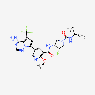 COc1ncc(-c2cc(C(F)(F)F)c3c(N)ncnn23)cc1C(=O)N[C@@H]1CN(C(=O)NC(C)C)C[C@@H]1F